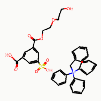 O=C(O)c1cc(C(=O)OCCOCCO)cc(S(=O)(=O)O)c1.c1ccc(C[N+](c2ccccc2)(c2ccccc2)c2ccccc2)cc1